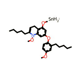 CCCCCC1=CCc2c(OC)cc(Oc3ccc(OC)cc3CCCCC)cc2N1OC.[SnH2]